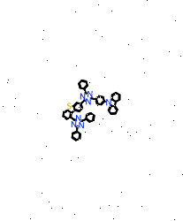 C1=CC2c3ccccc3N(c3ccc(-c4nc(-c5ccccc5)nc(-c5ccc6c(c5)sc5cccc(-c7nc(-c8ccccc8)nc(-c8ccccc8)n7)c56)n4)cc3)C2C=C1